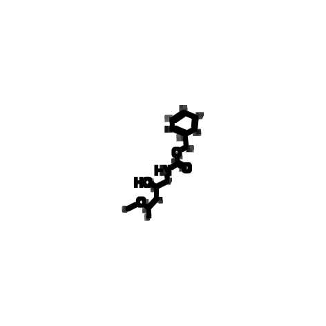 COC(C)CC(O)CNC(=O)OCc1ccccc1